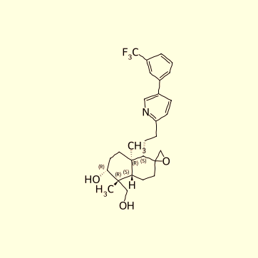 C[C@]1(CO)[C@H]2CCC3(CO3)[C@@H](CCc3ccc(-c4cccc(C(F)(F)F)c4)cn3)[C@]2(C)CC[C@H]1O